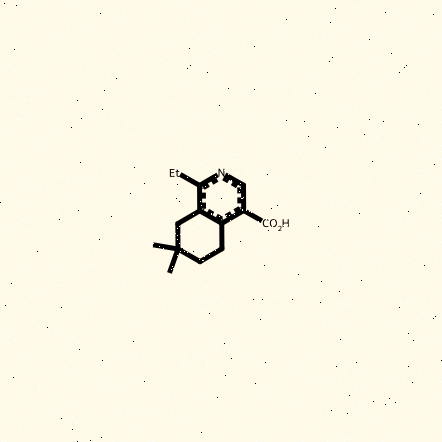 CCc1ncc(C(=O)O)c2c1CC(C)(C)CC2